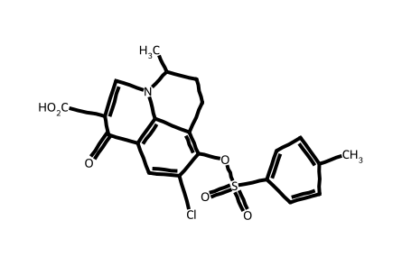 Cc1ccc(S(=O)(=O)Oc2c(Cl)cc3c(=O)c(C(=O)O)cn4c3c2CCC4C)cc1